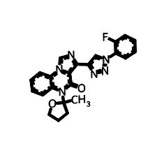 CC1(n2c(=O)c3c(-c4cn(-c5ccccc5F)nn4)ncn3c3ccccc32)CCCO1